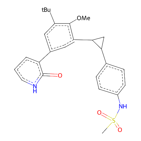 COc1c(C2CC2c2ccc(NS(C)(=O)=O)cc2)cc(-c2ccc[nH]c2=O)cc1C(C)(C)C